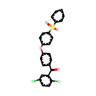 O=C(c1ccc(Oc2ccc(S(=O)(=O)c3ccccc3)cc2)cc1)c1cc(Cl)ccc1Cl